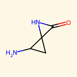 NC1CC12NC2=O